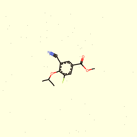 COC(=O)c1cc(F)c(OC(C)C)c(C#N)c1